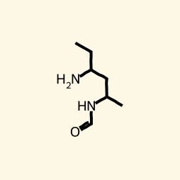 CCC(N)CC(C)NC=O